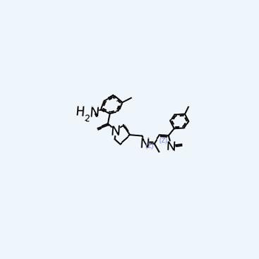 C=N/C(=C\C(C)=N/CC1CCN(C(=C)c2cc(C)ccc2N)C1)c1ccc(C)cc1